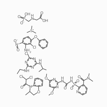 CC1COc2ccccc2N1C(=O)C(Cl)Cl.CCNc1nc(Cl)nc(NC(C)C)n1.COc1cc(OC)nc(NC(=O)NS(=O)(=O)c2ncccc2C(=O)N(C)C)n1.C[S+](C)C.Nc1c([N+](=O)[O-])ccc(Oc2ccccc2)c1Cl.O=C(O)CNCP(=O)([O-])O